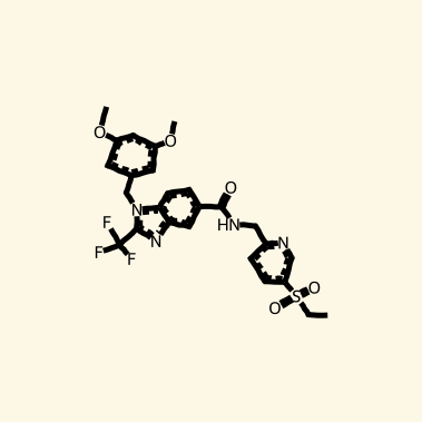 CCS(=O)(=O)c1ccc(CNC(=O)c2ccc3c(c2)nc(C(F)(F)F)n3Cc2cc(OC)cc(OC)c2)nc1